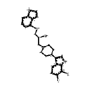 O[C@H](COc1cccc2[nH]ccc12)CN1CCC(c2c[nH]c3c(Cl)c(Cl)ccc23)CC1